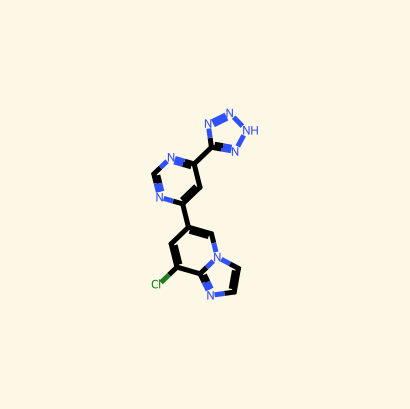 Clc1cc(-c2cc(-c3nn[nH]n3)ncn2)cn2ccnc12